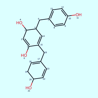 OC1=CC(O)C(Cc2ccc(O)cc2)C=C1CC1=CCC(O)C=C1